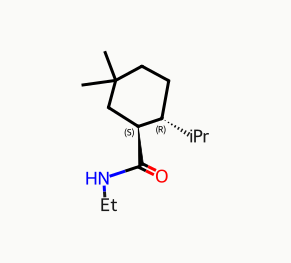 CCNC(=O)[C@H]1CC(C)(C)CC[C@@H]1C(C)C